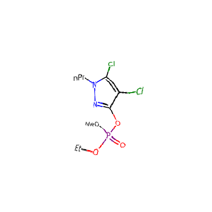 CCCn1nc(OP(=O)(OC)OCC)c(Cl)c1Cl